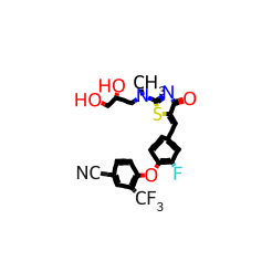 CN(CC(O)CO)C1=NC(=O)/C(=C/c2ccc(Oc3ccc(C#N)cc3C(F)(F)F)c(F)c2)S1